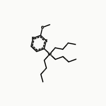 CCC[CH2][Sn]([CH2]CCC)([CH2]CCC)[c]1ccnc(OC)n1